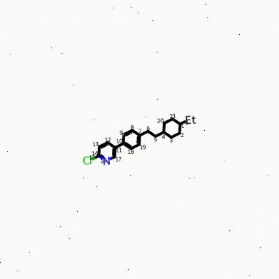 CCC1CCC(CCc2ccc(-c3ccc(Cl)nc3)cc2)CC1